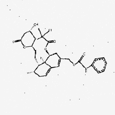 CCC(C)(C)C(=O)O[C@H]1CC(COC(=O)Nc2ccccc2)=CC2=CC[C@H](C)[C@H](CC[C@@H]3C[C@@H](O)CC(=O)O3)[C@H]21